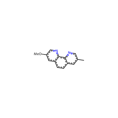 COc1cnc2c(ccc3cc(C)cnc32)c1